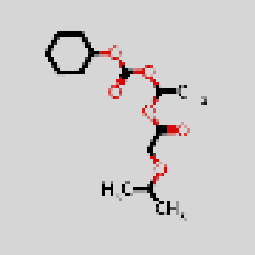 CC(C)OCC(=O)OC(C)OC(=O)OC1CCCCC1